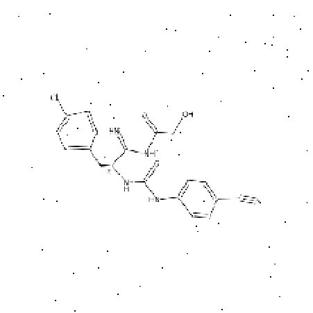 N#Cc1ccc(NC(=O)N[C@@H](Cc2ccc(Cl)cc2)C(=N)NC(=O)CO)cc1